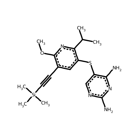 COc1nc(C(C)C)c(Sc2cnc(N)nc2N)cc1C#C[Si](C)(C)C